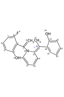 C=C(c1c(O)cccc1F)N1C=CC=C/C1=C(/C)c1ccccc1O